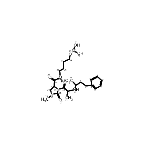 CCOC(=O)C(CCc1ccccc1)NC(C)C(=O)N1C(=O)N(C)CC1C(=O)OCCCCON(O)O